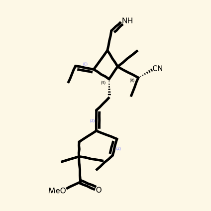 C/C=C\C(=C/C[C@@H]1/C(=C\C)C(C=N)C1(C)[C@@H](C)C#N)CC(C)(C)C(=O)OC